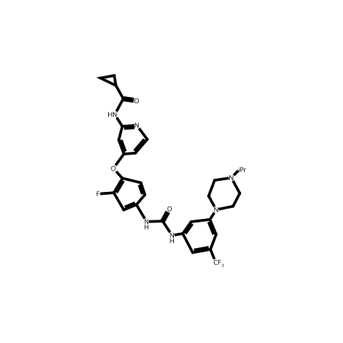 CC(C)N1CCN(c2cc(NC(=O)Nc3ccc(Oc4ccnc(NC(=O)C5CC5)c4)c(F)c3)cc(C(F)(F)F)c2)CC1